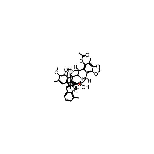 COc1c(C)cc2c(c1O)[C@H]1C3[C@@H]4SC[C@]5(NCCc6c5[nH]c5c(C)cccc65)C(=O)OC[C@@H](c5c6c(c(C)c(OC(C)=O)c54)OCO6)N3[C@@H](O)[C@@H](C2)N1C